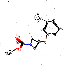 CC(C)(C)OC(=O)N1CC(Sc2cccc([N+](=O)[O-])c2)C1